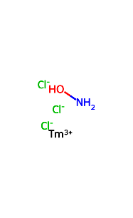 NO.[Cl-].[Cl-].[Cl-].[Tm+3]